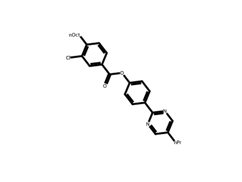 CCCCCCCCc1ccc(C(=O)Oc2ccc(-c3ncc(CCC)cn3)cc2)cc1Cl